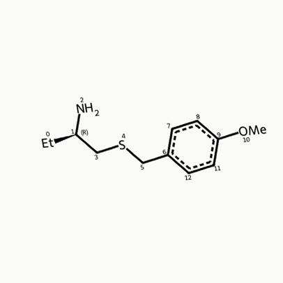 CC[C@@H](N)CSCc1ccc(OC)cc1